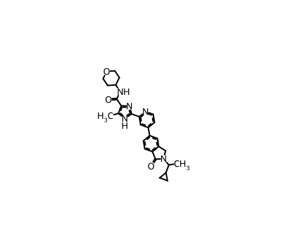 Cc1[nH]c(-c2cc(-c3ccc4c(c3)CN(C(C)C3CC3)C4=O)ccn2)nc1C(=O)NC1CCOCC1